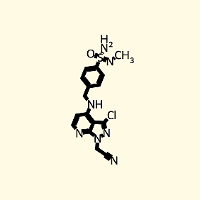 CN=S(N)(=O)c1ccc(CNc2ccnc3c2c(Cl)nn3CC#N)cc1